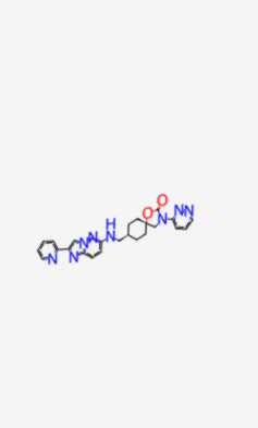 O=C1O[C@]2(CC[C@H](CNc3ccc4nc(-c5ccccn5)cn4n3)CC2)CN1c1cccnn1